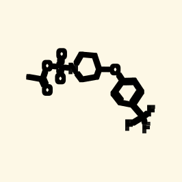 CC(=O)OS(=O)(=O)N1CCC(Oc2ccc(C(F)(F)F)cc2)CC1